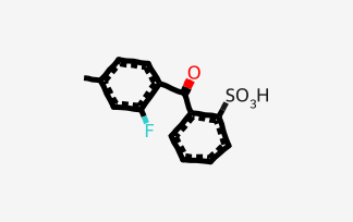 Cc1ccc(C(=O)c2ccccc2S(=O)(=O)O)c(F)c1